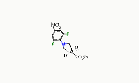 CCOC(=O)C1[C@H]2CN(c3c(F)cc([N+](=O)[O-])cc3F)C[C@@H]12